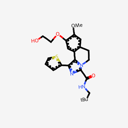 COc1cc2c(cc1OCCO)-c1c(-c3cccs3)nc(C(=O)NCC(C)(C)C)n1CC2